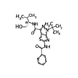 CC(C)[C@@H](CO)NC(=O)c1nn(C(C)(C)C)c2nc(NC(=O)c3ccccc3)sc12